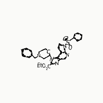 CCOC(=O)c1nc2cnc3c(ccn3S(=O)(=O)c3ccccc3)c2n1[C@@H]1CCCN(Cc2ccccc2)C1